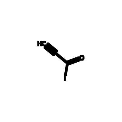 C#CC(=O)I